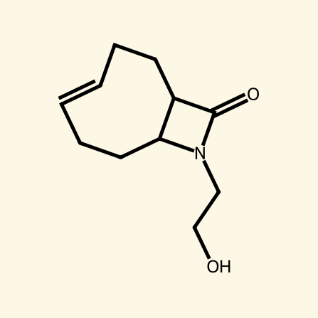 O=C1C2CC/C=C/CCC2N1CCO